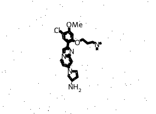 COc1cc(OCCCN(C)C)c(-c2cn3ccc(N4CC[C@H](N)C4)cc3n2)cc1Cl